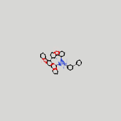 c1ccc(-c2cccc(-c3nc(-c4ccccc4)nc(-c4cccc5oc6ccc(-c7cc(-c8ccccc8)cc8oc9ccccc9c78)cc6c45)n3)c2)cc1